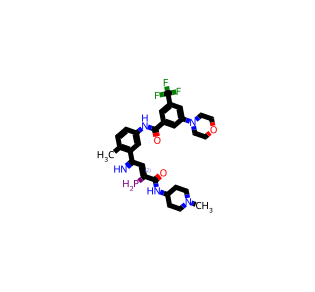 Cc1ccc(NC(=O)c2cc(N3CCOCC3)cc(C(F)(F)F)c2)cc1C(=N)/C=C(\P)C(=O)NC1CCN(C)CC1